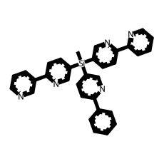 C[Si](c1ccc(-c2ccccc2)nc1)(c1ccc(-c2cccnc2)nc1)c1ccc(-c2ccccn2)nc1